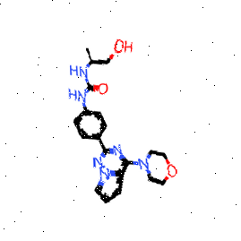 C[C@@H](CO)NC(=O)Nc1ccc(-c2nc(N3CCOCC3)c3cccn3n2)cc1